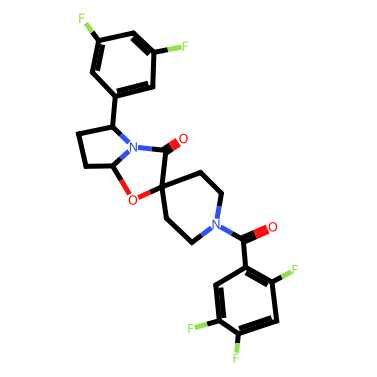 O=C(c1cc(F)c(F)cc1F)N1CCC2(CC1)OC1CCC(c3cc(F)cc(F)c3)N1C2=O